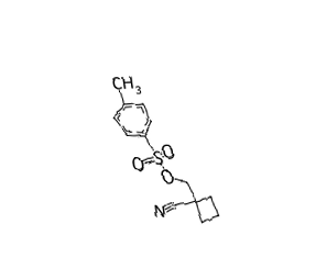 Cc1ccc(S(=O)(=O)OCC2(C#N)CCC2)cc1